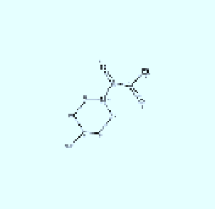 CCC(=O)C(=O)N1CCC(C)CC1